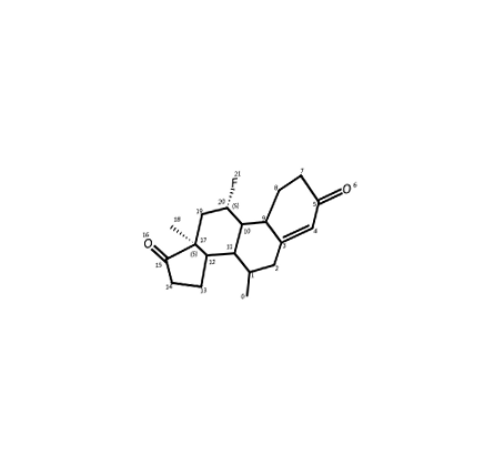 CC1CC2=CC(=O)CCC2C2C1C1CCC(=O)[C@@]1(C)C[C@@H]2F